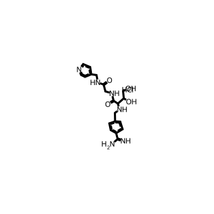 Cl.N=C(N)c1ccc(CNC(C(=O)NCC(=O)NCc2ccncc2)C(O)CO)cc1